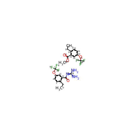 CCc1ccc(OC(F)(F)F)cc1C(=O)N=C(N)N.CCc1ccc(OC(F)(F)F)cc1C(=O)OC